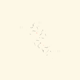 O=C(O)c1ccc(Oc2c(-c3cccc(C(F)(F)F)c3Oc3ccc(C(=O)O)c(C(=O)O)c3C(F)(F)F)cccc2C(F)(F)F)c(C(F)(F)F)c1C(=O)O